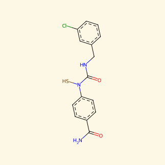 NC(=O)c1ccc(N(S)C(=O)NCc2cccc(Cl)c2)cc1